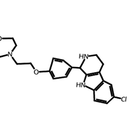 Clc1ccc2[nH]c3c(c2c1)CCNC3c1ccc(OCCN2CCOCC2)cc1